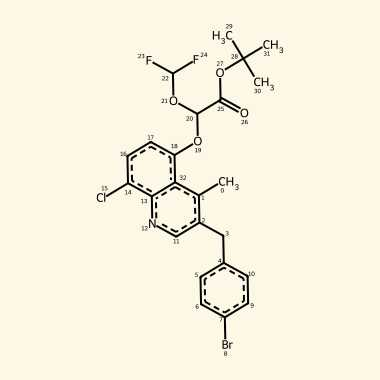 Cc1c(Cc2ccc(Br)cc2)cnc2c(Cl)ccc(OC(OC(F)F)C(=O)OC(C)(C)C)c12